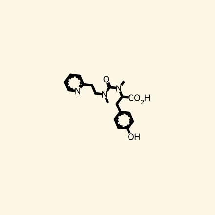 CN(CCc1ccccn1)C(=O)N(C)C(Cc1ccc(O)cc1)C(=O)O